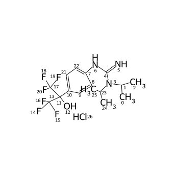 CC(C)N(C(=N)Nc1ccc(C(O)(C(F)(F)F)C(F)(F)F)cc1)C(C)C.Cl